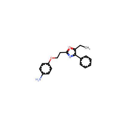 CCc1oc(CCOc2ccc(N)cc2)nc1-c1ccccc1